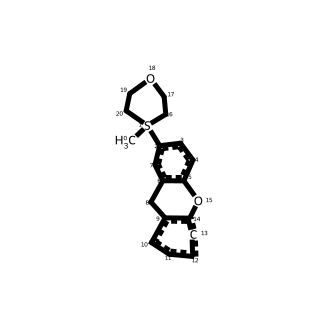 CS1(c2ccc3c(c2)Cc2ccccc2O3)CCOCC1